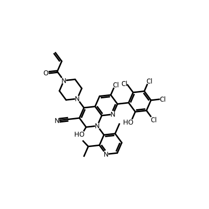 C=CC(=O)N1CCN(C2=C(C#N)C(O)N(c3c(C)ccnc3C(C)C)c3nc(-c4c(O)c(Cl)c(Cl)c(Cl)c4Cl)c(Cl)cc32)CC1